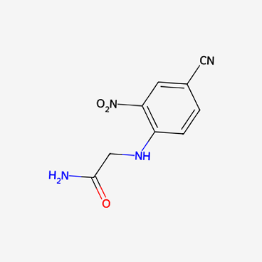 N#Cc1ccc(NCC(N)=O)c([N+](=O)[O-])c1